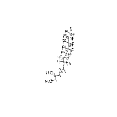 OCC(O)COCC(F)(F)C(F)(F)C(F)(F)C(F)(F)C(F)(F)C(F)(F)C(F)(F)F